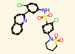 O=S(=O)(Nc1ccc(Cl)c(-c2ccc3ccccc3n2)c1)c1ccc(N2CCCCS2(=O)=O)cc1Cl